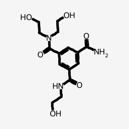 NC(=O)c1cc(C(=O)NCCO)cc(C(=O)N(CCO)CCO)c1